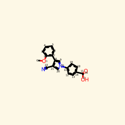 COc1ccccc1-c1cn(-c2ccc(C(=O)O)cc2)cc1C#N